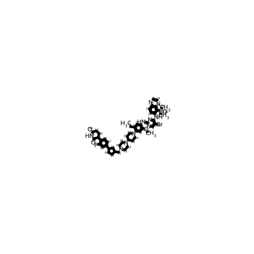 CCc1cc(Nc2ncc(Br)c(Nc3ccc4nccnc4c3P(C)(C)=O)n2)c(OC)cc1N1CCC(N2CCN(CC3CCC(c4ccc(C5CCC(=O)NC5=O)c(F)c4)C3)CC2)CC1